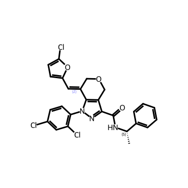 C[C@H](NC(=O)c1nn(-c2ccc(Cl)cc2Cl)c2c1COC/C2=C\c1ccc(Cl)o1)c1ccccc1